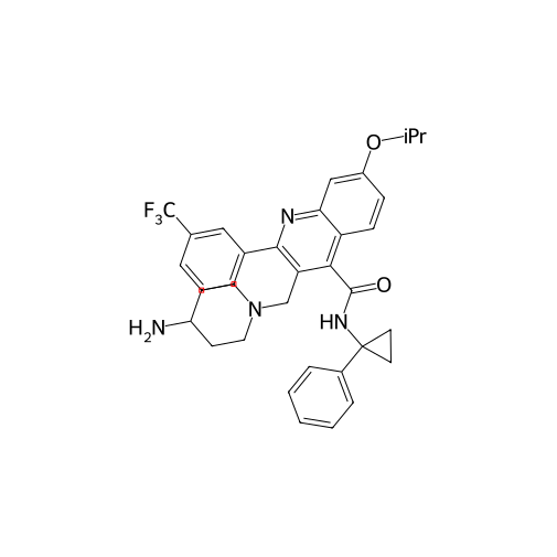 CC(C)Oc1ccc2c(C(=O)NC3(c4ccccc4)CC3)c(CN3CCC(N)CC3)c(-c3cccc(C(F)(F)F)c3)nc2c1